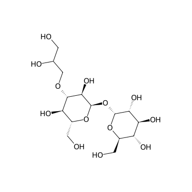 OCC(O)CO[C@@H]1[C@@H](O)[C@@H](O[C@H]2O[C@H](CO)[C@@H](O)[C@H](O)[C@H]2O)O[C@H](CO)[C@H]1O